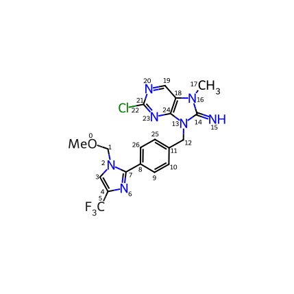 COCn1cc(C(F)(F)F)nc1-c1ccc(Cn2c(=N)n(C)c3cnc(Cl)nc32)cc1